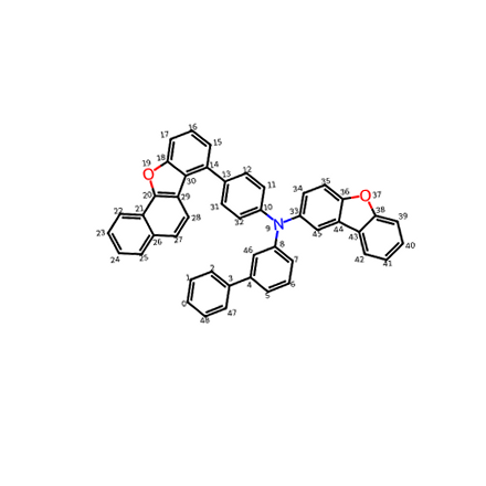 c1ccc(-c2cccc(N(c3ccc(-c4cccc5oc6c7ccccc7ccc6c45)cc3)c3ccc4oc5ccccc5c4c3)c2)cc1